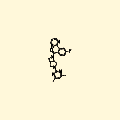 Cc1cc(C)nc(N2CC3CN(C(=O)c4ccc(F)cc4-c4ncccn4)C3C2)n1